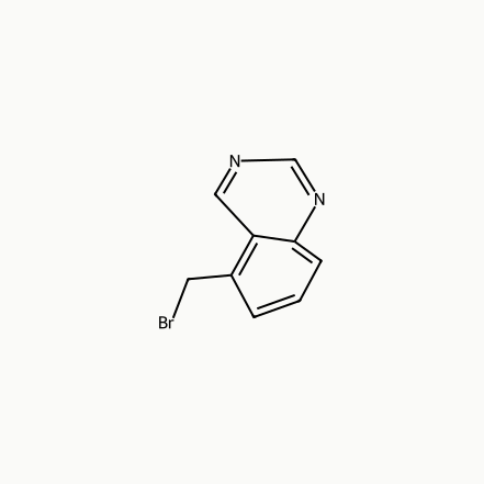 BrCc1cccc2ncncc12